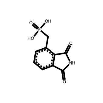 O=C1NC(=O)c2c(CP(=O)(O)O)cccc21